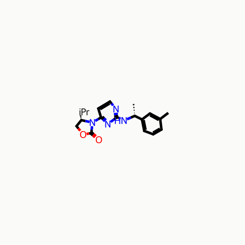 Cc1cccc([C@@H](C)Nc2nccc(N3C(=O)OC[C@@H]3C(C)C)n2)c1